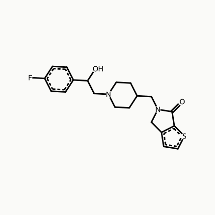 O=C1c2sccc2CN1CC1CCN(CC(O)c2ccc(F)cc2)CC1